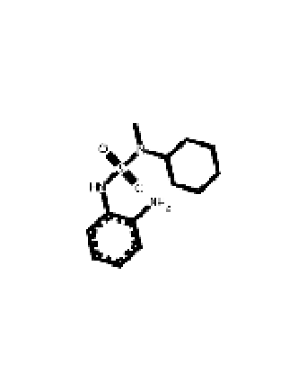 CN(C1CCCCC1)S(=O)(=O)Nc1ccccc1N